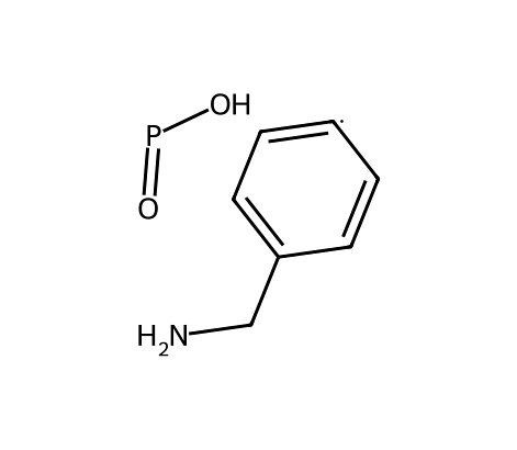 NCc1cc[c]cc1.O=PO